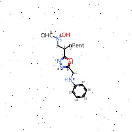 CCCCCC(CN(O)C=O)c1nnc(CNc2ccccc2)o1